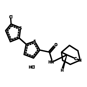 Cl.O=C(N[C@H]1CN2CCC1CC2)c1ccc(-c2ccc(Cl)s2)s1